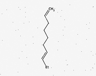 C=CCCC[CH]C=CCC